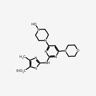 CCOC(=O)c1sc(Nc2nc(N3CCOCC3)cc(N3CCN(O)CC3)n2)nc1C